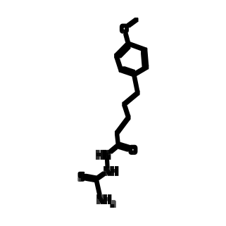 COc1ccc(CCCCC(=O)NNC(N)=S)cc1